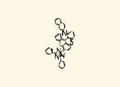 c1ccc(-c2nc(-c3ccccc3)nc(-c3ccc4c5c(cccc35)-c3c(cccc3N(c3ccccc3)c3ccc5ccccc5c3)S4)n2)cc1